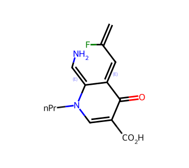 C=C(F)/C=c1/c(=O)c(C(=O)O)cn(CCC)/c1=C/N